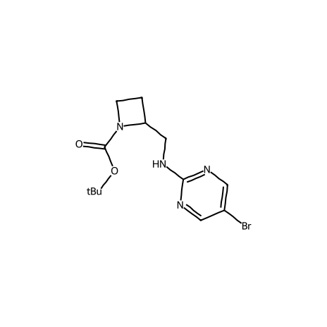 CC(C)(C)OC(=O)N1CCC1CNc1ncc(Br)cn1